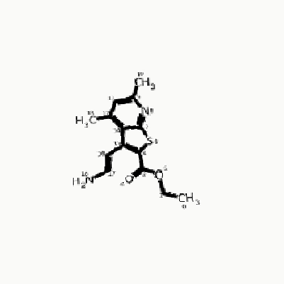 CCOC(=O)c1sc2nc(C)cc(C)c2c1/C=C/N